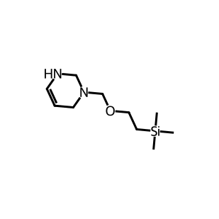 C[Si](C)(C)CCOCN1CC=CNC1